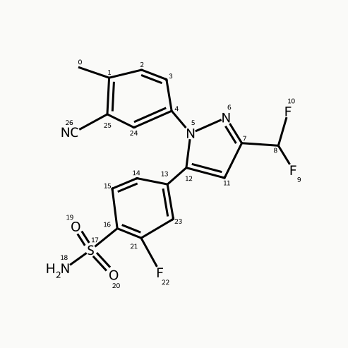 Cc1ccc(-n2nc(C(F)F)cc2-c2ccc(S(N)(=O)=O)c(F)c2)cc1C#N